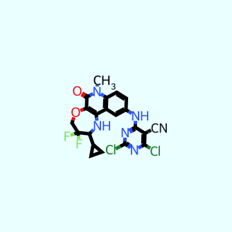 Cn1c(=O)c2c(c3cc(Nc4nc(Cl)nc(Cl)c4C#N)ccc31)NC(C1CC1)C(F)(F)CO2